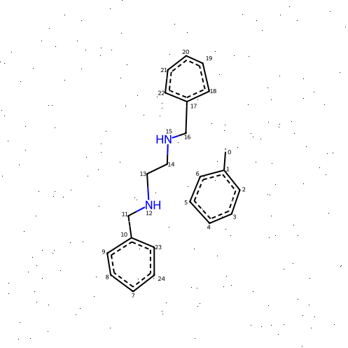 [CH2]c1ccccc1.c1ccc(CNCCNCc2ccccc2)cc1